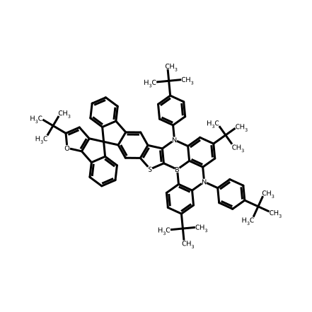 CC(C)(C)c1ccc(N2c3cc(C(C)(C)C)ccc3B3c4sc5cc6c(cc5c4N(c4ccc(C(C)(C)C)cc4)c4cc(C(C)(C)C)cc2c43)-c2ccccc2C62c3ccccc3-c3oc(C(C)(C)C)cc32)cc1